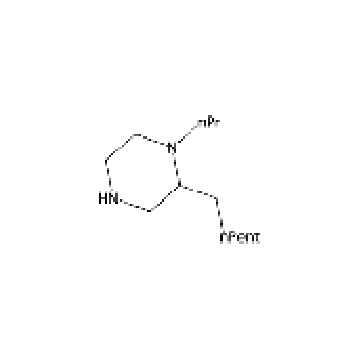 [CH2]CCCCCC1CNCCN1CCC